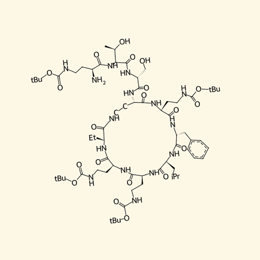 CC[C@@H]1NC(=O)[C@H](CCNC(=O)OC(C)(C)C)NC(=O)[C@H](CCNC(=O)OC(C)(C)C)NC(=O)[C@H](CC(C)C)NC(=O)[C@@H](Cc2ccccc2)NC(=O)[C@H](CCNC(=O)OC(C)(C)C)NC(=O)[C@@H](NC(=O)[C@@H](CO)NC(=O)[C@@H](NC(=O)[C@@H](N)CCNC(=O)OC(C)(C)C)[C@@H](C)O)CCNC1=O